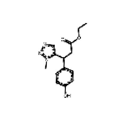 CCOC(=O)CC(c1ccc(O)cc1)c1cnnn1C